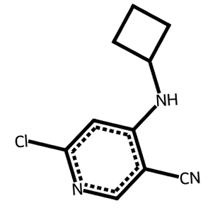 N#Cc1cnc(Cl)cc1NC1CCC1